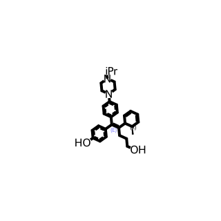 CC(C)N1CCN(c2ccc(/C(=C(/CCCO)C3C=CC=C[C@H]3C)c3ccc(O)cc3)cc2)CC1